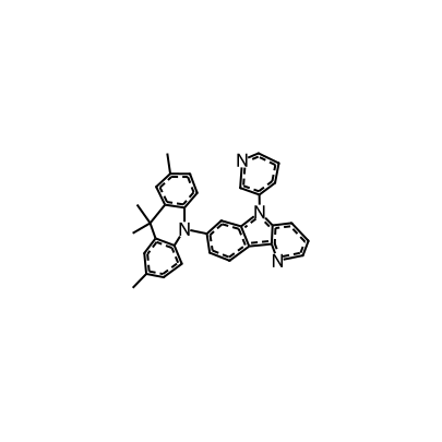 Cc1ccc2c(c1)C(C)(C)c1cc(C)ccc1N2c1ccc2c3ncccc3n(-c3cccnc3)c2c1